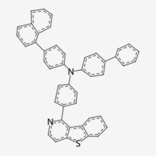 c1ccc(-c2ccc(N(c3ccc(-c4cccc5ccccc45)cc3)c3ccc(-c4nccc5sc6ccccc6c45)cc3)cc2)cc1